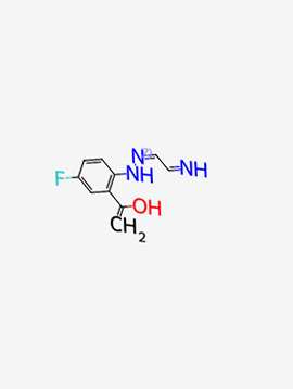 C=C(O)c1cc(F)ccc1N/N=C\C=N